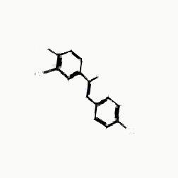 C/C(=C\c1ccc(C(=O)O)cc1)c1ccc(C(C)C)c(C(C)C)c1